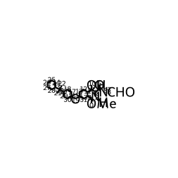 COc1nc(C(=O)NCC=O)c(O)c2ccc(Oc3ccc(C(C)(C)c4ccccc4)cc3)cc12